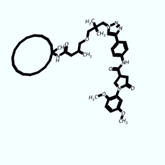 COc1ccc(OC)c(N2CC(C(=O)Nc3ccc(-c4cn(CC(C)(C)COCC(C)CC(=O)NC5(C)CCCCCCCCCCCCCCC5)nn4)cc3)CC2=O)c1